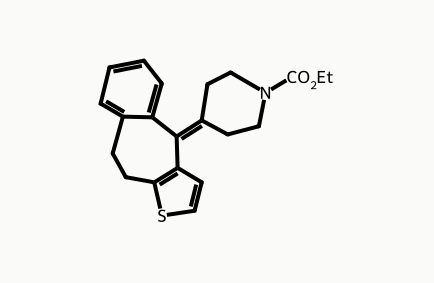 CCOC(=O)N1CCC(=C2c3ccccc3CCc3sccc32)CC1